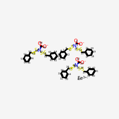 O=C([O-])N(SSCc1ccccc1)SSCc1ccccc1.O=C([O-])N(SSCc1ccccc1)SSCc1ccccc1.O=C([O-])N(SSCc1ccccc1)SSCc1ccccc1.[Fe+3]